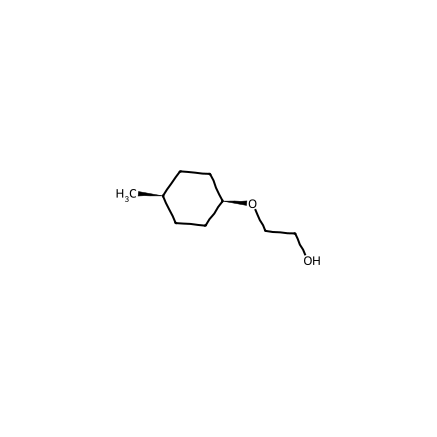 C[C@H]1CC[C@@H](OCCO)CC1